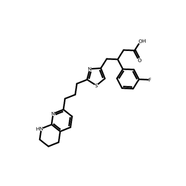 O=C(O)CC(Cc1csc(CCCc2ccc3c(n2)NCCC3)n1)c1cccc(F)c1